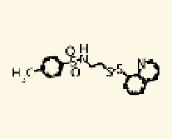 Cc1ccc(S(=O)(=O)NCCSSc2cccc3cccnc23)cc1